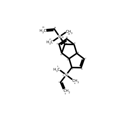 C=C[Si](C)(C)C1C=CC2C3C=CC(C21)C3[Si](C)(C)C=C